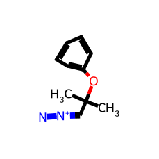 CC(C)(C=[N+]=[N-])Oc1ccccc1